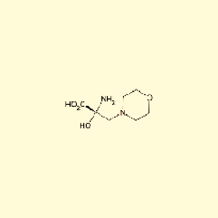 N[C@@](O)(CN1CCOCC1)C(=O)O